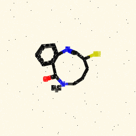 CN1CCCC(S)/C=N\c2ccccc2C1=O